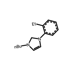 CCCCN1C=CN(c2ccccc2CC)C1